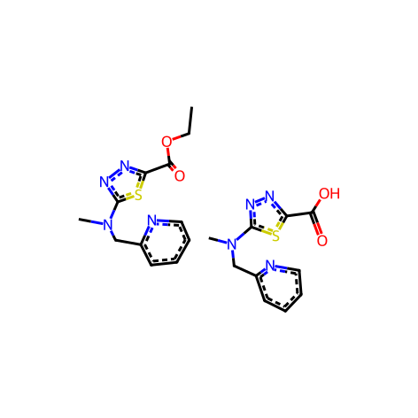 CCOC(=O)c1nnc(N(C)Cc2ccccn2)s1.CN(Cc1ccccn1)c1nnc(C(=O)O)s1